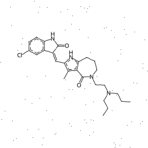 CCCN(CCC)CCN1CCCc2[nH]c(/C=C3\C(=O)Nc4ccc(Cl)cc43)c(C)c2C1=O